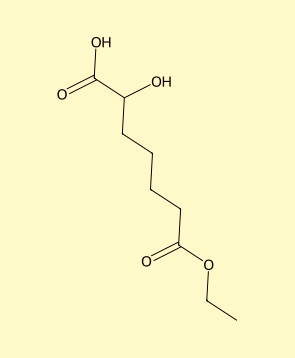 CCOC(=O)CCCCC(O)C(=O)O